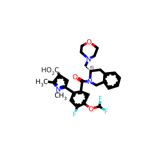 Cc1c(C(=O)O)cc(-c2cc(F)c(OC(F)F)cc2C(=O)N2Cc3ccccc3C[C@H]2CN2CCOCC2)n1C